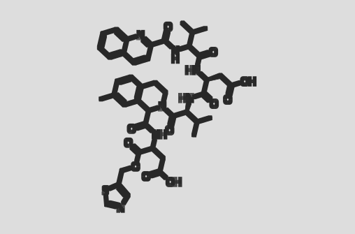 Cc1ccc2c(c1)C(C(=O)NC(CC(=O)O)C(=O)OCc1cncs1)N(C(=O)[C@@H](NC(=O)[C@H](CC(=O)O)NC(=O)C(NC(=O)c1ccc3ccccc3n1)C(C)C)C(C)C)CC2